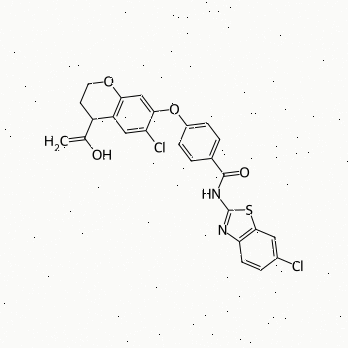 C=C(O)C1CCOc2cc(Oc3ccc(C(=O)Nc4nc5ccc(Cl)cc5s4)cc3)c(Cl)cc21